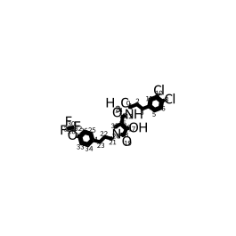 CC(CCc1ccc(Cl)c(Cl)c1)NC(=O)C1=C(O)C(=O)N(CCCc2ccc(OC(F)(F)F)cc2)C1